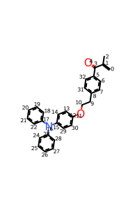 C=C(C)C(=O)c1ccc(CCOc2ccc(N(c3ccccc3)c3ccccc3)cc2)cc1